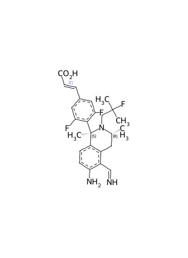 C[C@@H]1Cc2c(ccc(N)c2C=N)[C@@](C)(c2c(F)cc(/C=C/C(=O)O)cc2F)N1CC(C)(C)F